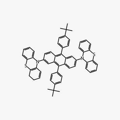 CC(C)(C)c1ccc(-c2c3ccc(N4c5ccccc5Sc5ccccc54)cc3c(-c3ccc(C(C)(C)C)cc3)c3ccc(N4C5=C(CCC=C5)Sc5ccccc54)cc23)cc1